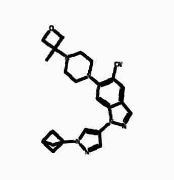 CC1(N2CCN(c3cc4c(cnn4-c4cnn(C56CC(C5)C6)c4)cc3C#N)CC2)COC1